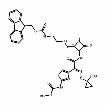 CC(C)(C)OC(=O)Nc1nc(C(=NOC2(C(=O)O)CC2)C(=O)N[C@@H]2C(=O)N[C@@H]2CNCCNC(=O)OCC2c3ccccc3-c3ccccc32)cs1